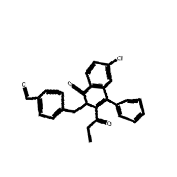 CCC(=O)C1=C(c2ccccc2)c2cc(Cl)ccc2C(=O)C1Cc1ccc(C=O)cc1